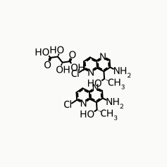 C[C@H](O)c1c(N)cnc2ccc(Cl)nc12.C[C@H](O)c1c(N)cnc2ccc(Cl)nc12.O=C(O)[C@@H](O)[C@H](O)C(=O)O